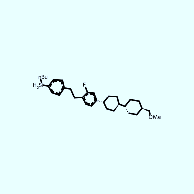 CCCC[SiH2]c1ccc(CCc2ccc([C@H]3CC[C@H]([C@H]4CC[C@H](COC)CC4)CC3)cc2F)cc1